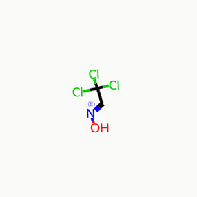 O/N=C/C(Cl)(Cl)Cl